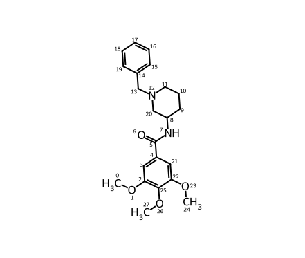 COc1cc(C(=O)NC2CCCN(Cc3ccccc3)C2)cc(OC)c1OC